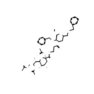 CO[C@@H]1OC(COCc2ccccc2)[C@H](C)[C@H](C(=O)CCNC(=O)[C@]2(OC(C)=O)C[C@@H](C)[C@@H](C)C([C@H](C)[C@@H](COC(C)=O)OC(C)=O)O2)C1OCc1ccccc1